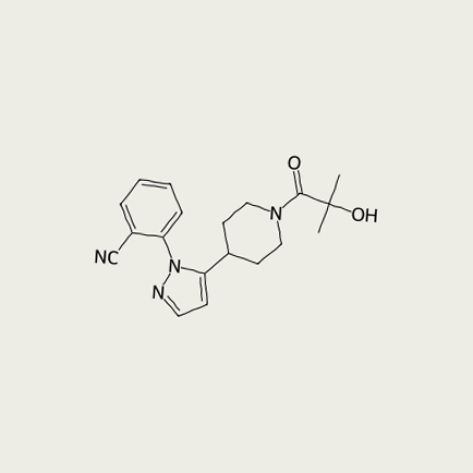 CC(C)(O)C(=O)N1CCC(c2ccnn2-c2ccccc2C#N)CC1